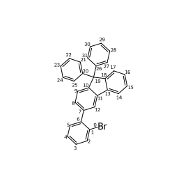 Brc1ccccc1-c1ccc2c(c1)-c1ccccc1C2(c1ccccc1)c1ccccc1